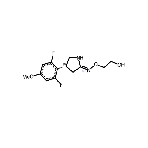 COc1cc(F)c([C@@H]2CN/C(=N\OCCO)C2)c(F)c1